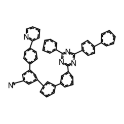 N#Cc1cc(-c2ccc(-c3ccccn3)cc2)cc(-c2cccc(-c3cccc(-c4nc(-c5ccccc5)nc(-c5ccc(-c6ccccc6)cc5)n4)c3)c2)c1